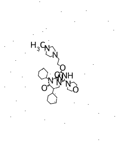 CN1CCN(CCOC(=O)NC(=NCC(C(=O)N(C#N)C2CCCCC2)C2CCCCC2)N2CCOCC2)CC1